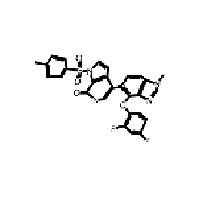 Cc1ccc(S(=O)(=O)n2ccc3c2C(=O)[N]C=C3c2ccc3c(ncn3C)c2Oc2ccc(F)cc2F)cc1